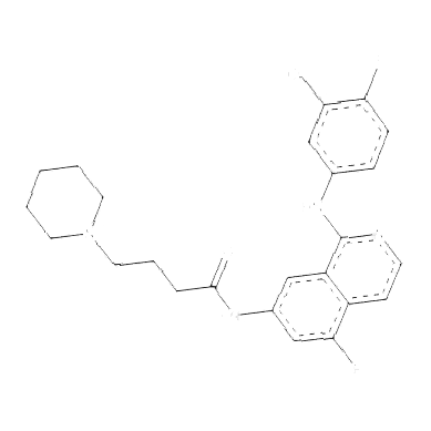 O=C(CCCN1CCCCC1)Nc1cc(F)c2ccnc(Nc3ccc(F)c(Cl)c3)c2c1